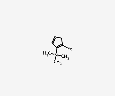 C[Si](C)(C)C1=[C]([Fe])CC=C1